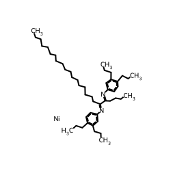 CCCCCCCCCCCCCCCCCCC(=N\c1ccc(CCC)c(CCC)c1)/C(CCCC)=N/c1ccc(CCC)c(CCC)c1.[Ni]